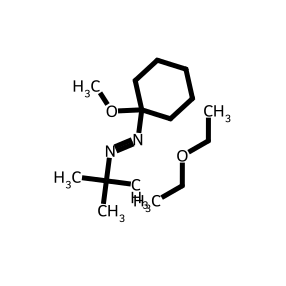 CCOCC.COC1(/N=N/C(C)(C)C)CCCCC1